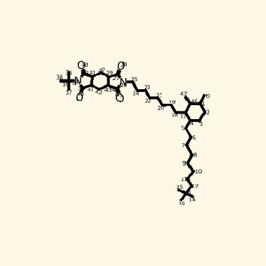 CC1CCC(CCCCCCCCC(C)(C)C)C(CCCCCCCCN2C(=O)C3CC4C(=O)N(C(C)(C)C)C(=O)C4CC3C2=O)C1C